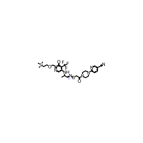 CC(/C=N/OCC(=O)N1CCN(c2ccc(C#N)cn2)CC1)Nc1cnn(COCC[Si](C)(C)C)c(=O)c1C(F)(F)F